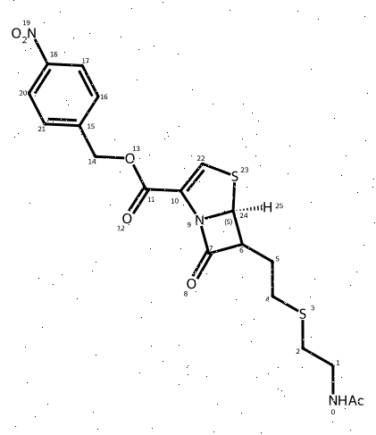 CC(=O)NCCSCCC1C(=O)N2C(C(=O)OCc3ccc([N+](=O)[O-])cc3)=CS[C@@H]12